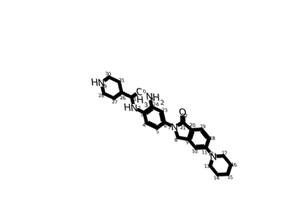 CC(Nc1ccc(N2Cc3cc(N4CCCCC4)ccc3C2=O)cc1N)C1CCNCC1